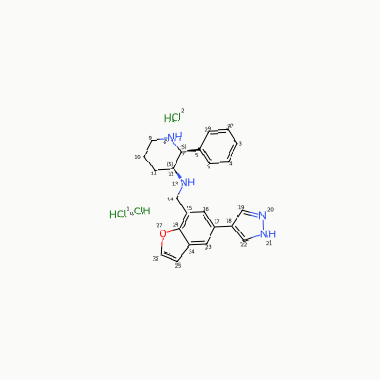 Cl.Cl.Cl.c1ccc([C@@H]2NCCC[C@@H]2NCc2cc(-c3cn[nH]c3)cc3ccoc23)cc1